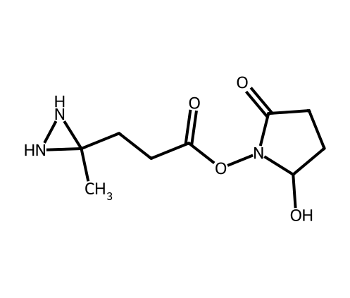 CC1(CCC(=O)ON2C(=O)CCC2O)NN1